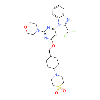 O=S1(=O)CCN([C@H]2CC[C@H](COc3cc(-n4c(C(F)F)nc5ccccc54)nc(N4CCOCC4)n3)CC2)CC1